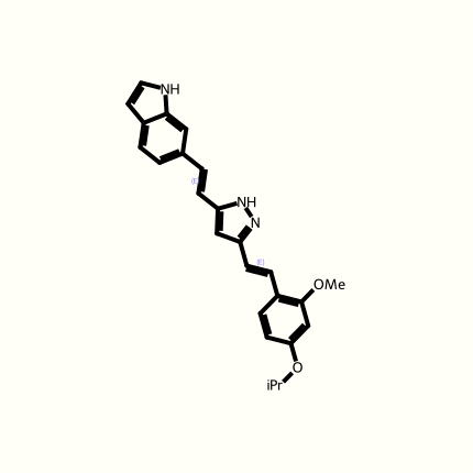 COc1cc(OC(C)C)ccc1/C=C/c1cc(/C=C/c2ccc3cc[nH]c3c2)[nH]n1